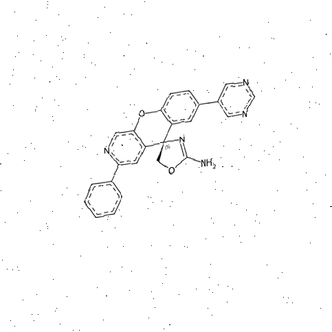 NC1=N[C@@]2(CO1)c1cc(-c3cncnc3)ccc1Oc1cnc(-c3ccccc3)cc12